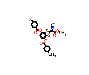 [C-]#[N+]C(C(=O)OC)=C1Sc2c(OC(=O)C3CCC(C)CC3)ccc(OC(=O)C3CCC(C)CC3)c2S1